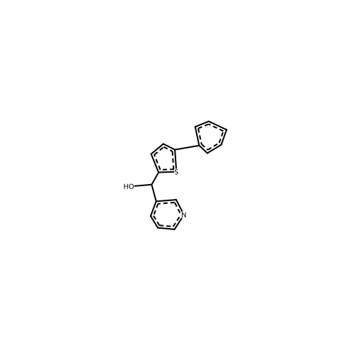 OC(c1cccnc1)c1ccc(-c2ccccc2)s1